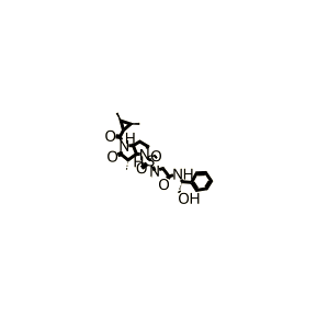 C[C@@H]1C(=O)N(C(=O)C2[C@@H](C)[C@H]2C)[C@H]2CCN(S(=O)(=O)N(C)CC(=O)N[C@@H](CO)c3ccccc3)[C@H]12